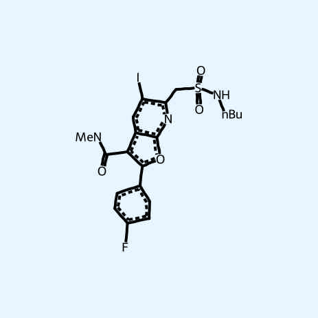 CCCCNS(=O)(=O)Cc1nc2oc(-c3ccc(F)cc3)c(C(=O)NC)c2cc1I